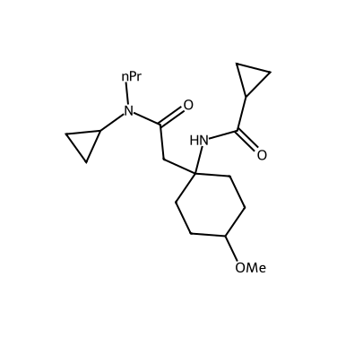 CCCN(C(=O)CC1(NC(=O)C2CC2)CCC(OC)CC1)C1CC1